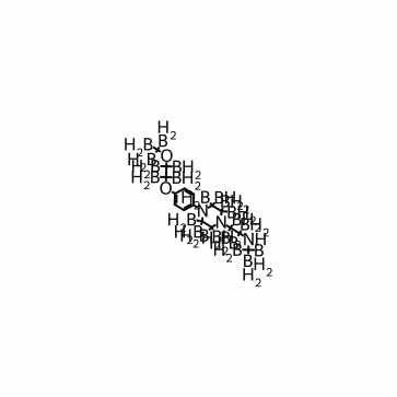 BC(B)(B)NC(B)(B)C(B)(B)N1C(B)(B)C(B)(B)N(c2ccc(OC(B)(B)C(B)(B)OC(B)(B)B)cc2)C(B)(B)C1(B)B